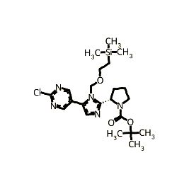 CC(C)(C)OC(=O)N1CCC[C@H]1c1ncc(-c2cnc(Cl)nc2)n1COCC[Si](C)(C)C